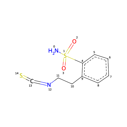 NS(=O)(=O)c1ccccc1CCN=C=S